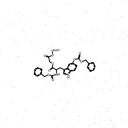 CCCCCOC(=O)COC(=O)C(Cc1c[nH]c2ccc(OC(=O)OCc3ccccc3)cc12)NC(=O)OCc1ccccc1